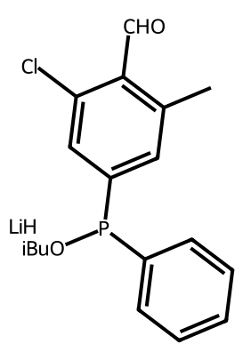 Cc1cc(P(OCC(C)C)c2ccccc2)cc(Cl)c1C=O.[LiH]